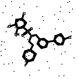 O=S(=O)(c1cc(Cl)cc(Cl)c1O)N(CCc1ccc(F)cc1)Cc1cccc(-c2ccc(Cl)cc2)c1